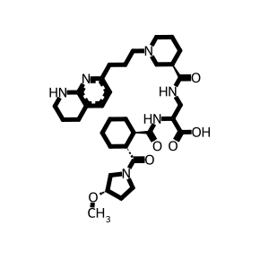 CO[C@H]1CCN(C(=O)[C@@H]2CCCC[C@H]2C(=O)NC(CNC(=O)[C@@H]2CCCN(CCCc3ccc4c(n3)NCCC4)C2)C(=O)O)C1